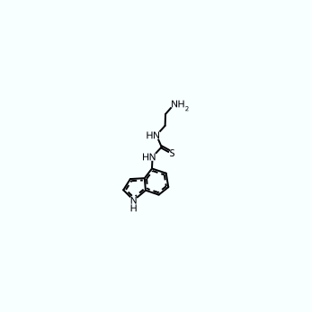 NCCNC(=S)Nc1cccc2[nH]ccc12